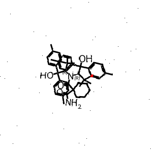 Cc1ccc(C(O)(c2ccc(C)cc2)[C@H](N(C(=O)C2(C(N)=O)CCCCC2)[C@H](C(C)(C)C)C(O)(c2ccc(C)cc2)c2ccc(C)cc2)C(C)(C)C)cc1